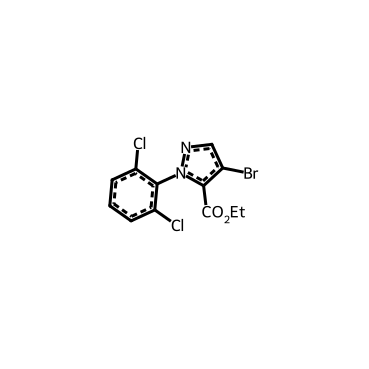 CCOC(=O)c1c(Br)cnn1-c1c(Cl)cccc1Cl